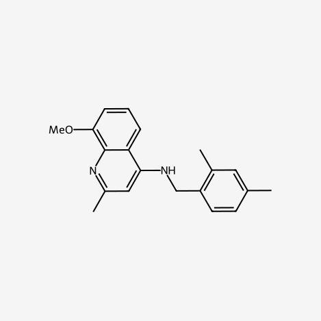 COc1cccc2c(NCc3ccc(C)cc3C)cc(C)nc12